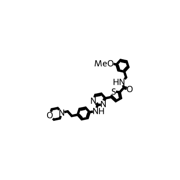 COc1cccc(CNC(=O)c2ccc(-c3ccnc(Nc4ccc(CCN5CCOCC5)cc4)n3)s2)c1